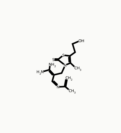 C=C(C)/N=C\C(Cn1c(C)c(CCO)sc1=S)=C(N)N